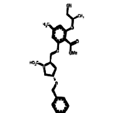 COC(=O)c1c(OC[C@H]2C[C@H](OCc3ccccc3)CN2C(=O)O)cc(C)cc1O[C@H](C)CO